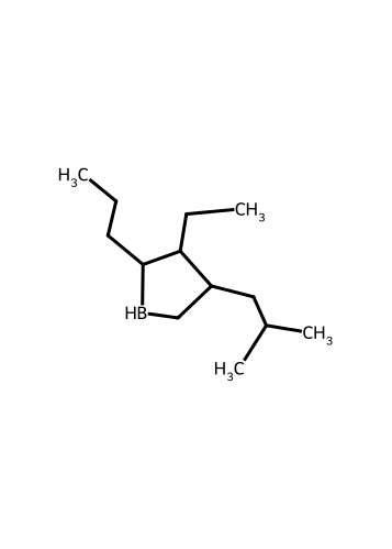 CCCC1BCC(CC(C)C)C1CC